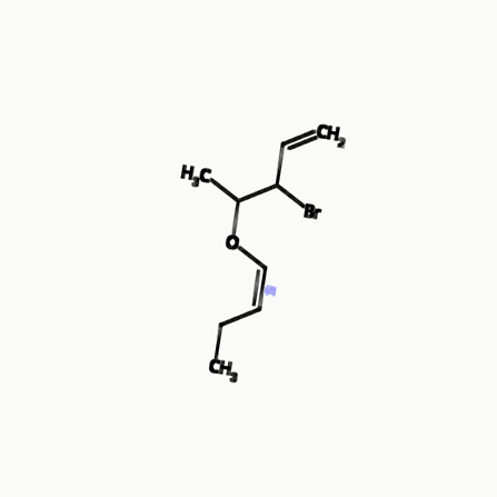 C=CC(Br)C(C)O/C=C\CC